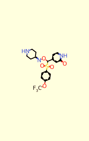 O=c1cc(C(ON=C2CCNCC2)S(=O)(=O)c2ccc(OC(F)(F)F)cc2)cc[nH]1